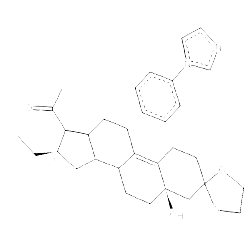 CC[C@@H]1CC2C3CC[C@@]4(O)CC5(CCC4=C3[C@@H](c3ccc(-n4ccnc4)cc3)C[C@]2(C)C1C(C)=O)OCCO5